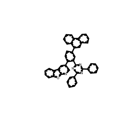 c1ccc(-c2nc(-c3ccccc3)nc(-c3cc(-c4cc5ccccc5c5ccccc45)ccc3-c3cnc4oc5ccccc5c4c3)n2)cc1